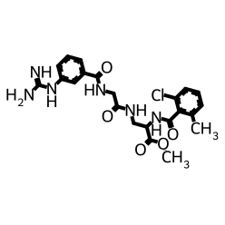 COC(=O)C(CNC(=O)CNC(=O)c1cccc(NC(=N)N)c1)NC(=O)c1c(C)cccc1Cl